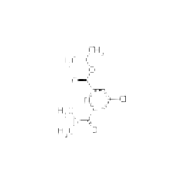 CC(C)OC(=O)c1cc(Cl)cc(C(=O)N(C)C)n1